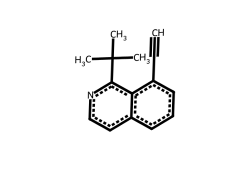 C#Cc1cccc2ccnc(C(C)(C)C)c12